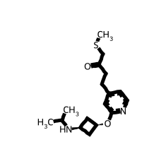 CSCC(=O)CCc1ccnc(O[C@H]2C[C@H](NC(C)C)C2)c1